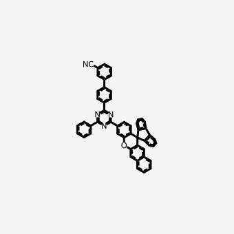 N#Cc1cccc(-c2ccc(-c3nc(-c4ccccc4)nc(-c4ccc5c(c4)Oc4cc6ccccc6cc4C54c5ccccc5-c5ccccc54)n3)cc2)c1